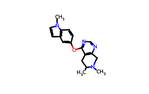 CC1Cc2c(ncnc2Oc2ccc3c(ccn3C)c2)CN1C